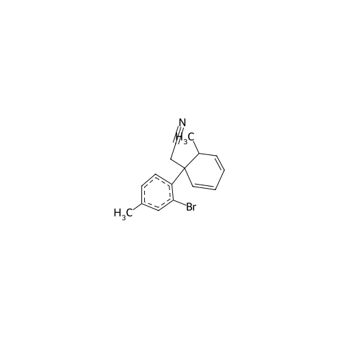 Cc1ccc(C2(CC#N)C=CC=CC2C)c(Br)c1